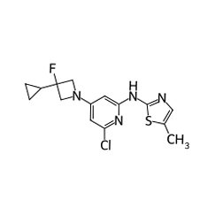 Cc1cnc(Nc2cc(N3CC(F)(C4CC4)C3)cc(Cl)n2)s1